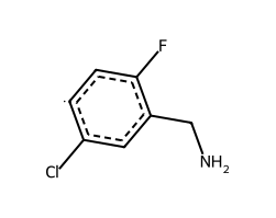 NCc1cc(Cl)[c]cc1F